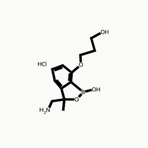 CC1(CN)OB(O)c2c(OCCCO)cccc21.Cl